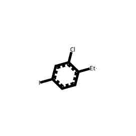 C[CH]c1ccc(I)cc1Cl